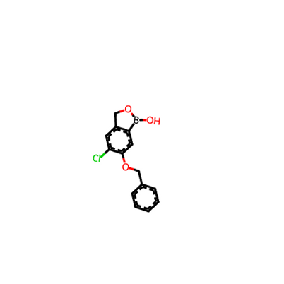 OB1OCc2cc(Cl)c(OCc3ccccc3)cc21